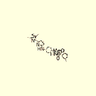 COc1ccc(C)cc1S(=O)(=O)NCC1CCC(Nc2nc(-c3nc(C)sc3C)cs2)CC1